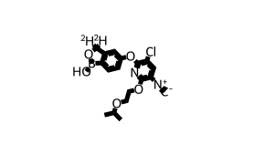 [2H]C1([2H])OB(O)c2ccc(Oc3nc(OCCOC(C)C)c([N+]#[C-])cc3Cl)cc21